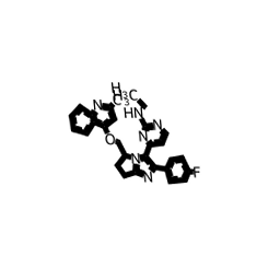 CCNc1nccc(-c2c(-c3ccc(F)cc3)nc3n2C(COc2cc(C)nc4ccccc24)CC3)n1